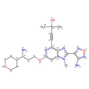 CCn1c(-c2nonc2N)nc2c(C#CC(C)(C)O)nc(OCCC(N)C3CCOCC3)cc21